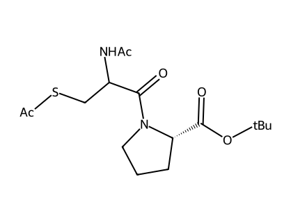 CC(=O)NC(CSC(C)=O)C(=O)N1CCC[C@H]1C(=O)OC(C)(C)C